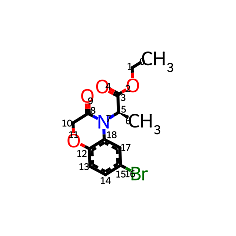 CCOC(=O)[C@@H](C)N1C(=O)COc2ccc(Br)cc21